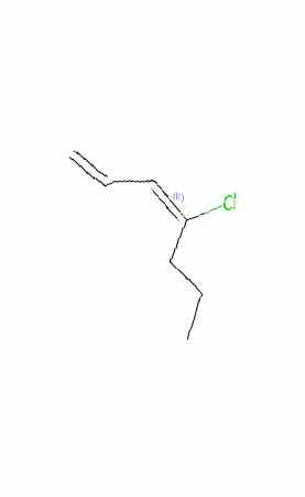 C=C/C=C(/Cl)CCC